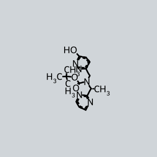 C[C@@H](c1ncccn1)N(Cc1ccc(O)nn1)C(=O)OC(C)(C)C